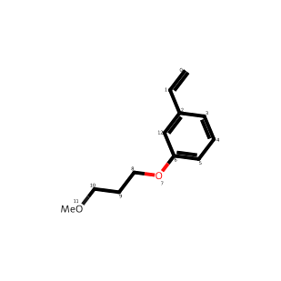 C=Cc1cccc(OCCCOC)c1